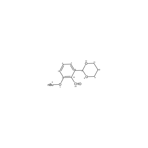 CCCCOc1cccc(C2OCCCO2)c1C=O